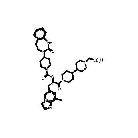 Cc1cc(C[C@@H](OC(=O)N2CCC(N3CCc4ccccc4NC3=O)CC2)C(=O)N2CCC(C3CCN(CC(=O)O)CC3)CC2)cn2ccnc12